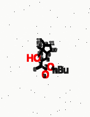 C=C(C(=O)OCCCC)C(O)CC1CC=C(C)C1(C)C